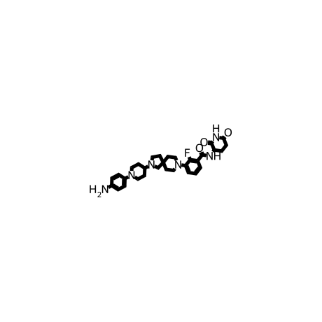 Nc1ccc(N2CCC(N3CCC4(CCN(c5cccc(C(=O)NC6CCC(=O)NC6=O)c5F)CC4)C3)CC2)cc1